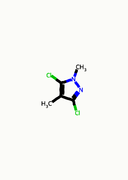 Cc1c(Cl)nn(C)c1Cl